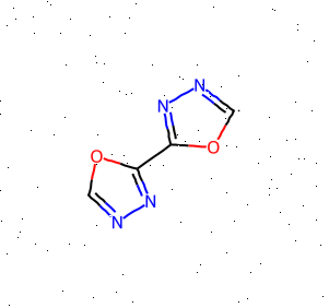 [c]1nnc(-c2nnco2)o1